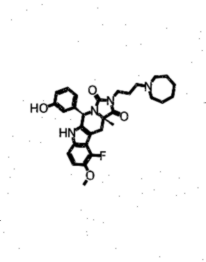 COc1ccc2[nH]c3c(c2c1F)C[C@@]1(C)C(=O)N(CCCN2CCCCCC2)C(=O)N1[C@@H]3c1cccc(O)c1